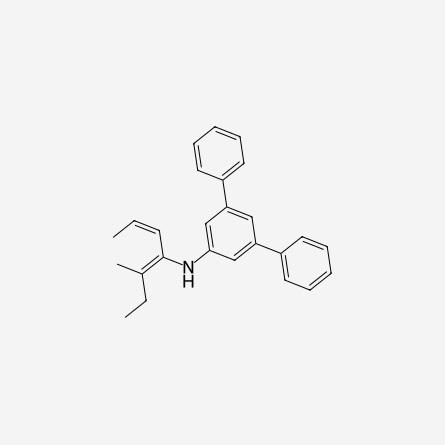 C/C=C\C(Nc1cc(-c2ccccc2)cc(-c2ccccc2)c1)=C(/C)CC